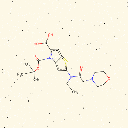 CCN(C(=O)CN1CCOCC1)c1cc2c(cc(B(O)O)n2C(=O)OC(C)(C)C)s1